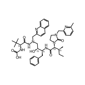 CC[C@H](C)[C@@H](C(=O)N[C@@H](Cc1ccccc1)[C@@H](O)CN(Cc1ccc2ccccc2n1)NC(=O)[C@@H](NC(=O)O)C(C)(C)C)N1CCN(Cc2cccc(C)n2)C1=O